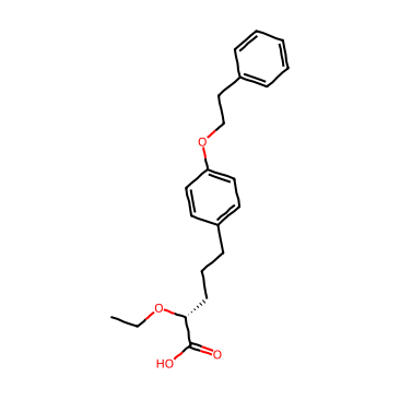 CCO[C@H](CCCc1ccc(OCCc2ccccc2)cc1)C(=O)O